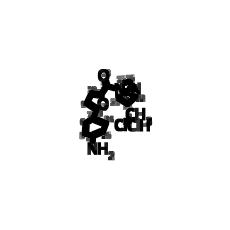 CCl.Cl.Nc1ccc(-c2ccc(C(=O)N3CCN4CCC3CC4)o2)cc1